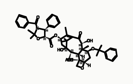 CC(=O)O[C@@]12CO[C@@H]1C[C@H](OC(C)(C)c1ccccc1)[C@]1(C)[C@@H]2[C@H](O)[C@]2(O)C[C@H](OC(=O)[C@@H]3OC(C)(C)N(C(=O)c4ccccc4)[C@@H]3c3ccccc3)C(C)=C(C(=O)[C@@H]1O)C2(C)C